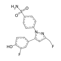 NS(=O)(=O)c1ccc(-n2nc(CF)cc2-c2ccc(O)c(F)c2)cc1